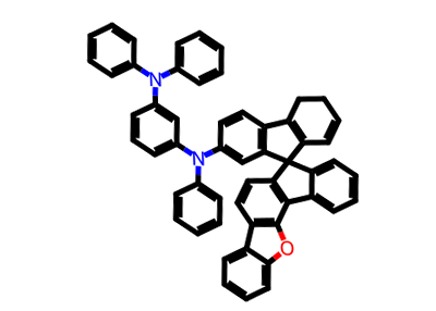 C1=CC2=C(CC1)c1ccc(N(c3ccccc3)c3cccc(N(c4ccccc4)c4ccccc4)c3)cc1C21c2ccccc2-c2c1ccc1c2oc2ccccc21